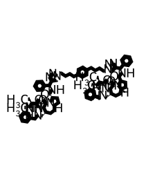 CC[C@H](NC)C(=O)N[C@@H]1C(=O)N2C(C(=O)N[C@@H](c3ccccc3)c3cn(CCCCc4ccc(CCCCn5cc([C@@H](NC(=O)[C@@H]6CC[C@@H]7CC[C@H](CNCc8ccccc8)[C@H](NC(=O)[C@H](CC)NC)C(=O)N76)c6ccccc6)nn5)cc4)nn3)CC[C@@H]2CC[C@@H]1CNCc1ccccc1